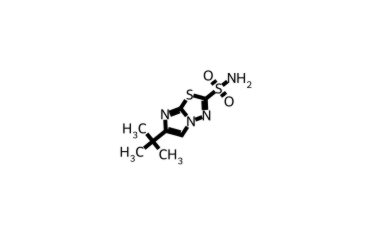 CC(C)(C)c1cn2nc(S(N)(=O)=O)sc2n1